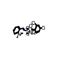 CN(C)c1ccccc1/C=C/S(=O)(=O)NC(=O)c1ccc(Cl)cc1Cl